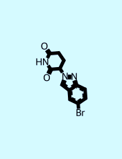 O=C1CCC(n2cc3cc(Br)ccc3n2)C(=O)N1